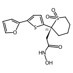 O=C(C[C@]1(c2ccc(-c3ccco3)s2)CCCCS1(=O)=O)NO